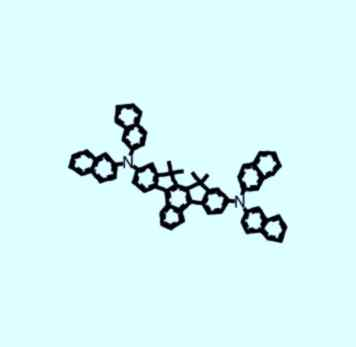 CC1(C)c2cc(N(c3ccc4ccccc4c3)c3ccc4ccccc4c3)ccc2-c2c1c1c(c3ccccc23)-c2ccc(N(c3ccc4ccccc4c3)c3ccc4ccccc4c3)cc2C1(C)C